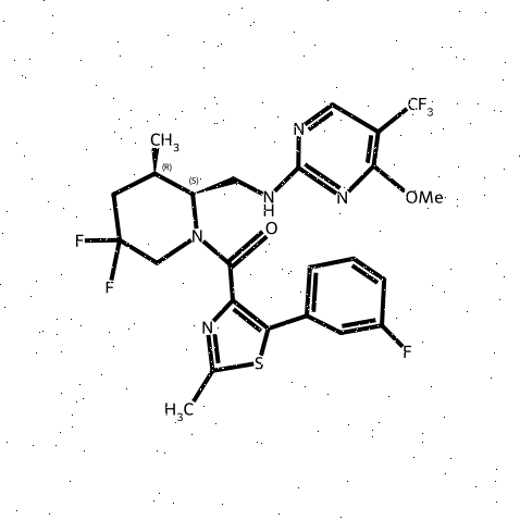 COc1nc(NC[C@@H]2[C@H](C)CC(F)(F)CN2C(=O)c2nc(C)sc2-c2cccc(F)c2)ncc1C(F)(F)F